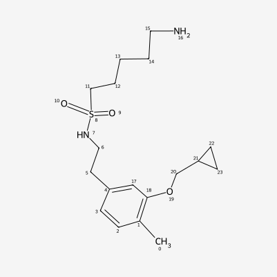 Cc1ccc(CCNS(=O)(=O)CCCCCN)cc1OCC1CC1